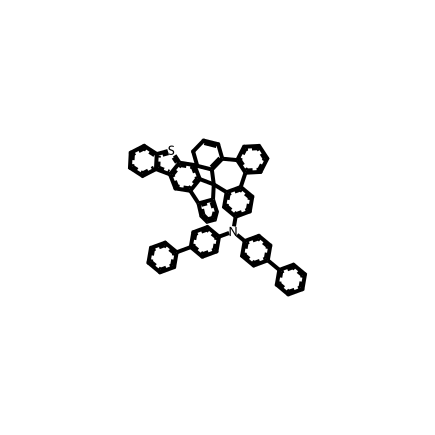 C1=CC2=C(CC1)C1(c3cc(N(c4ccc(-c5ccccc5)cc4)c4ccc(-c5ccccc5)cc4)ccc3-c3ccccc32)c2ccccc2-c2cc3c(cc21)sc1ccccc13